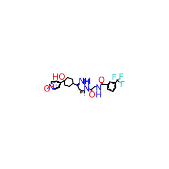 C[C@H](CC(=N)C1CCC(O)(c2cc[n+]([O-])cc2)CC1)NC(=O)CNC(=O)c1cccc(C(F)(F)F)c1